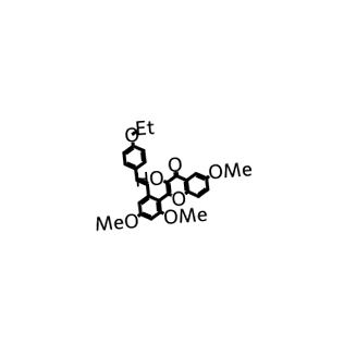 CCOc1ccc(C=Cc2cc(OC)cc(OC)c2-c2oc3ccc(OC)cc3c(=O)c2O)cc1